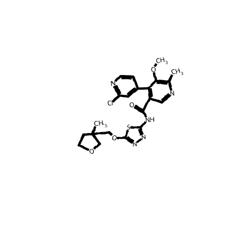 COc1c(C)ncc(C(=O)Nc2nnc(OCC3(C)CCOC3)s2)c1-c1ccnc(Cl)c1